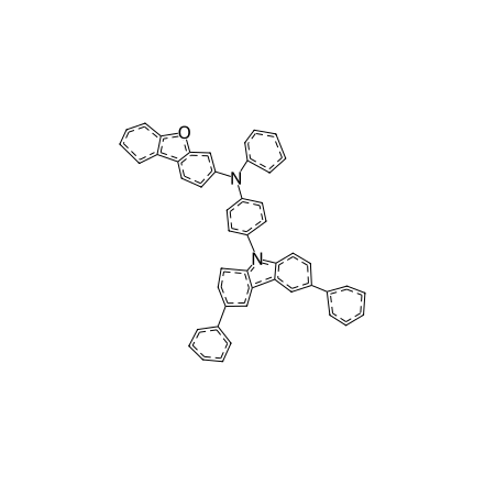 c1ccc(-c2ccc3c(c2)c2cc(-c4ccccc4)ccc2n3-c2ccc(N(c3ccccc3)c3ccc4c(c3)oc3ccccc34)cc2)cc1